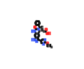 COc1ncc(-c2n[nH]c3cc4c(cc23)CN([C@H](C)c2ccccc2)C(=O)N4)cn1.O=CO